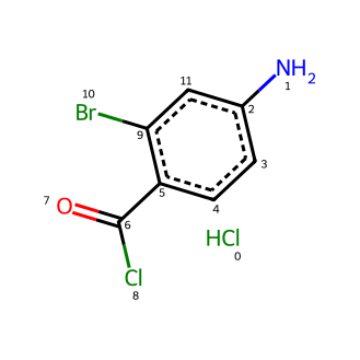 Cl.Nc1ccc(C(=O)Cl)c(Br)c1